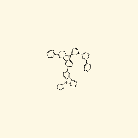 c1ccc(-c2cccc(-c3cccc(-n4c5ccc(-c6ccccc6)cc5c5cc(-c6ccc7c(c6)c6ccccc6n7-c6ccccc6)ccc54)c3)c2)cc1